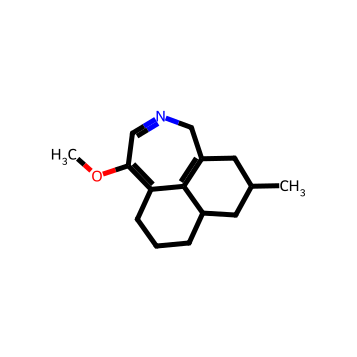 COC1=C2CCCC3CC(C)CC(=C23)CN=C1